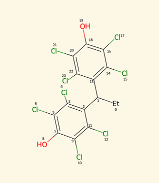 CCC(c1c(Cl)c(Cl)c(O)c(Cl)c1Cl)c1c(Cl)c(Cl)c(O)c(Cl)c1Cl